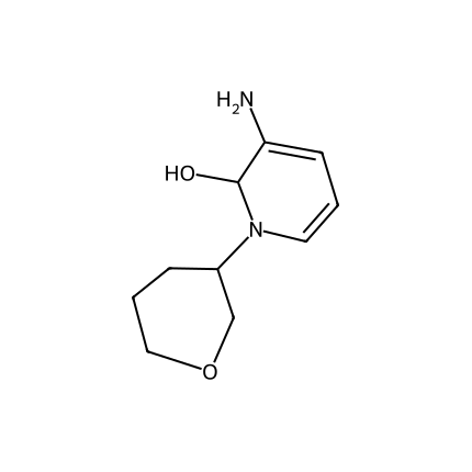 NC1=CC=CN(C2CCCOC2)C1O